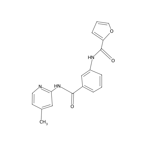 Cc1ccnc(NC(=O)c2cccc(NC(=O)c3ccco3)c2)c1